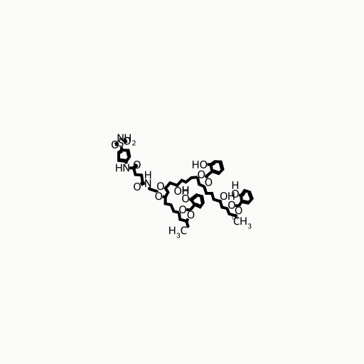 CCC1CC(CCCC2CC(CC(O)CCCC3CC(CCCC(O)CC4C[C@H](C)OC(c5ccccc5O)O4)OC(c4ccccc4O)O3)OC(CNC(=O)CCC(=O)Nc3ccc(S(N)(=O)=O)cc3)O2)OC(c2ccccc2O)O1